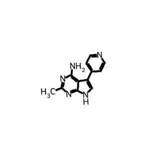 Cc1nc(N)c2c(-c3ccncc3)c[nH]c2n1